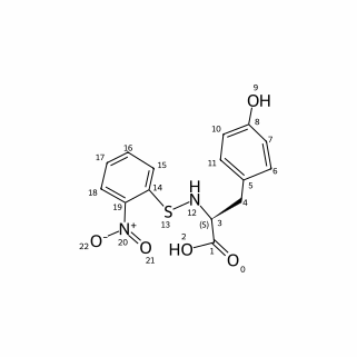 O=C(O)[C@H](Cc1ccc(O)cc1)NSc1ccccc1[N+](=O)[O-]